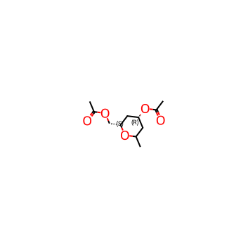 CC(=O)OC[C@@H]1C[C@H](OC(C)=O)CC(C)O1